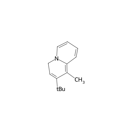 CC1=C2C=CC=CN2CC=C1C(C)(C)C